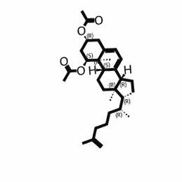 C=C(C)CCC[C@@H](C)[C@H]1CC[C@H]2C3=CC=C4C[C@@H](OC(C)=O)C[C@H](OC(C)=O)[C@]4(C)[C@H]3CC[C@]12C